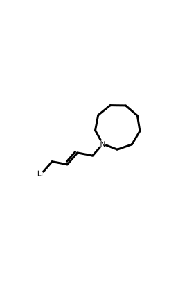 [Li][CH2]C=CCN1CCCCCCCC1